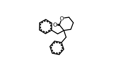 O=C1OCCCC1(Cc1ccccc1)Cc1ccccc1